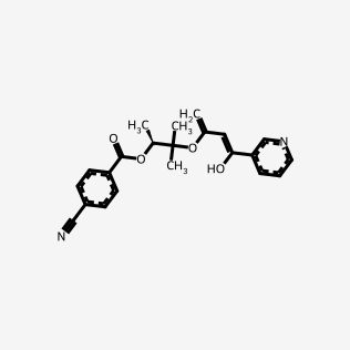 C=C(/C=C(\O)c1cccnc1)OC(C)(C)[C@H](C)OC(=O)c1ccc(C#N)cc1